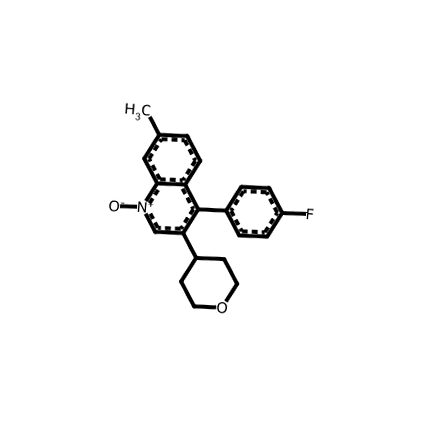 Cc1ccc2c(-c3ccc(F)cc3)c(C3CCOCC3)c[n+]([O-])c2c1